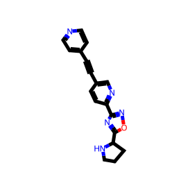 C(#Cc1ccc(-c2noc(C3CCCN3)n2)nc1)c1ccncc1